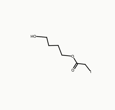 O=C(CI)OCCCCO